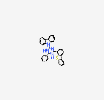 c1ccc(C2NC(c3cccc4c3sc3ccccc34)=NC(n3c4ccccc4c4ccccc43)N2)cc1